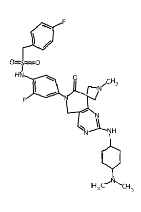 CN1CC2(C1)C(=O)N(c1ccc(NS(=O)(=O)Cc3ccc(F)cc3)c(F)c1)Cc1cnc(NC3CCC(N(C)C)CC3)nc12